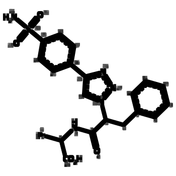 CC(C)C(NC(=O)C(Cc1ccccc1)n1cc(-c2ccc(S(N)(=O)=O)cc2)nn1)C(=O)O